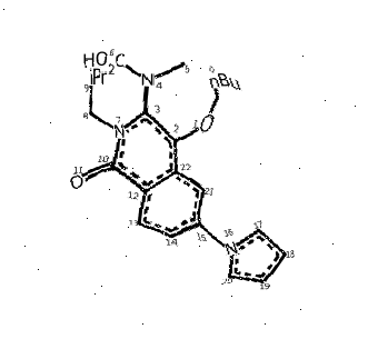 CCCCOc1c(N(C)C(=O)O)n(CC(C)C)c(=O)c2ccc(-n3cccc3)cc12